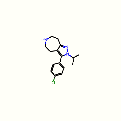 CC(C)n1nc2c(c1-c1ccc(Cl)cc1)CCNCC2